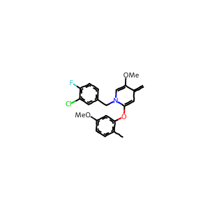 C=C1C=C(Oc2cc(OC)ccc2C)N(Cc2ccc(F)c(Cl)c2)C=C1OC